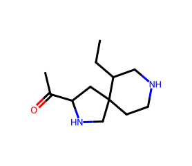 CCC1CNCCC12CNC(C(C)=O)C2